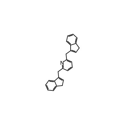 C1=C(Cc2cccc(CC3=CCc4ccccc43)n2)c2ccccc2C1